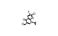 O=Cc1cn(C2CC2)c2nc(Cl)c(F)cc2c1=O